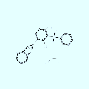 CC(C)(C)OC=O.Nc1c(-c2c3c4ccccc4n2-3)ccc(Cl)c1S(=O)(=O)c1ccccc1